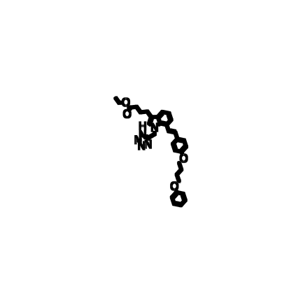 CCOC(=O)CCCc1cn(Cc2nnn[nH]2)c2c(C=Cc3ccc(OCCCCOc4ccccc4)cc3)cccc12